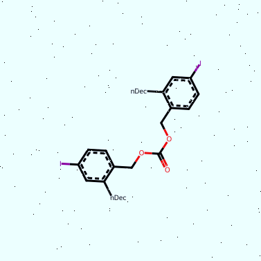 CCCCCCCCCCc1cc(I)ccc1COC(=O)OCc1ccc(I)cc1CCCCCCCCCC